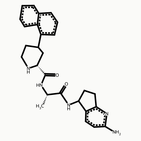 C[C@H](NC(=O)[C@H]1CC(c2cccc3ccccc23)CCN1)C(=O)NC1CCc2nc(N)ccc21